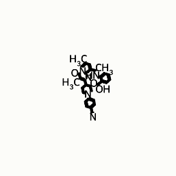 Cc1cc([C@@H](C)Nc2ccccc2C(=O)O)c2nc(C3CCN(c4ccc(C#N)cc4)CC3)c(C)c(=O)n2c1